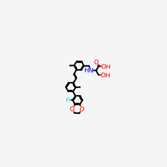 Cc1ccc(CNC(CO)C(=O)O)cc1/C=C/c1cccc(-c2ccc3c(c2F)OCCO3)c1C